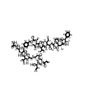 C=CC(=O)N1CN(C(=O)CCSCC(=O)N[C@H](C(=O)N[C@@H](CCCNC(N)=O)C(=O)Nc2ccc(COC(=O)N(C)[C@H](C(=O)N[C@H](C(=O)N(C)[C@@H]([C@@H](C)CC)[C@@H](CC(=O)N3CCC[C@H]3[C@H](OC)[C@@H](C)C(=O)N[C@H](C)[C@@H](O)c3ccccc3)OC)C(C)C)C(C)C)cc2)C(C)C)CN(C(O)C=C)C1